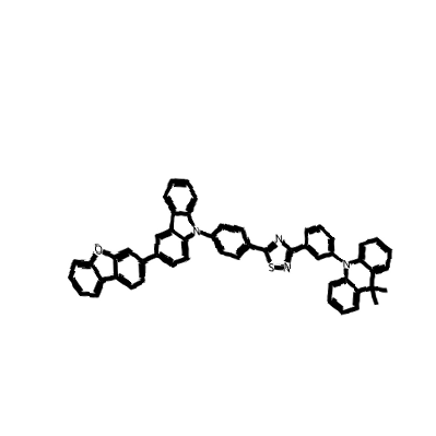 CC1(C)c2ccccc2N(c2cccc(-c3nsc(-c4ccc(-n5c6ccccc6c6cc(-c7ccc8c(c7)oc7ccccc78)ccc65)cc4)n3)c2)c2ccccc21